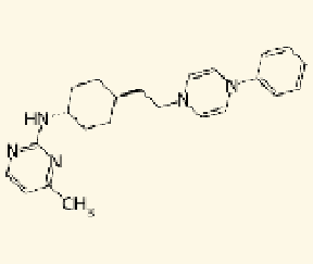 Cc1ccnc(N[C@H]2CC[C@H](CCN3C=CN(c4ccccc4)C=C3)CC2)n1